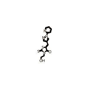 O=C1/C(=C/c2cnn(-c3ccccn3)c2)SC(=S)N1CCO